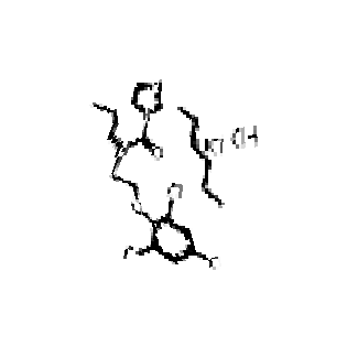 CCCCCC.CCCN(CCOc1c(Cl)cc(Cl)cc1Cl)C(=O)n1ccnc1.Cl.Cl